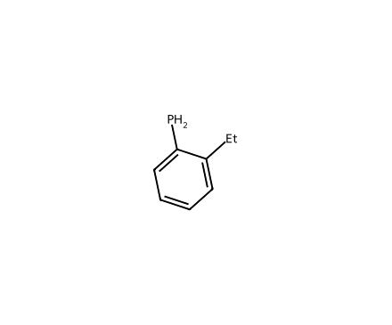 CCc1ccccc1P